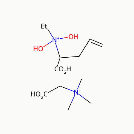 C=CCC(C(=O)O)[N+](O)(O)CC.C[N+](C)(C)CC(=O)O